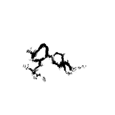 COCC1(O)CCN(c2ccc(C(C)C)nc2CN(C)C)CC1